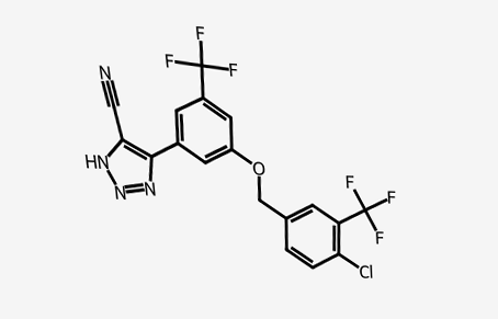 N#Cc1[nH]nnc1-c1cc(OCc2ccc(Cl)c(C(F)(F)F)c2)cc(C(F)(F)F)c1